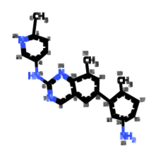 Cc1ccc(Nc2ncc3cc(-c4cc(N)ccc4C)cc(C)c3n2)cn1